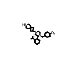 COc1ccc(CN2CCN(C3CC4(CCNCC4)C3)C(=O)C2c2ccccc2C(C)C)cc1